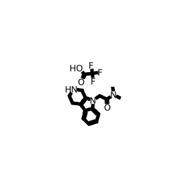 CN(C)C(=O)Cn1c2c(c3ccccc31)CCNC2.O=C(O)C(F)(F)F